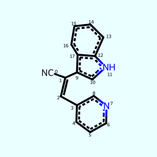 N#C/C(=C/c1cccnc1)c1c[nH]c2ccccc12